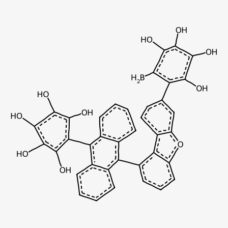 Bc1c(O)c(O)c(O)c(O)c1-c1ccc2c(c1)oc1cccc(-c3c4ccccc4c(-c4c(O)c(O)c(O)c(O)c4O)c4ccccc34)c12